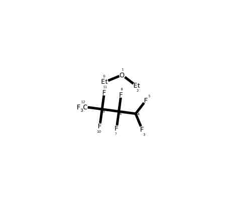 CCOCC.FC(F)C(F)(F)C(F)(F)C(F)(F)F